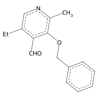 CCc1cnc(C)c(OCc2ccccc2)c1C=O